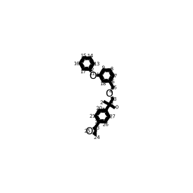 CC(C)(COCc1cccc(Oc2ccccc2)c1)c1ccc(C2CO2)cc1